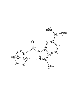 CCCCN(CCCC)c1ccc2c(c1)c(C(=O)N1CCN3CCC1CC3)nn2CCCC